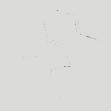 C[C@]1(c2ccccc2F)COC[C@@H]1CO